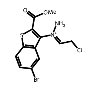 COC(=O)c1sc2ccc(Br)cc2c1[N+](N)=CCCl